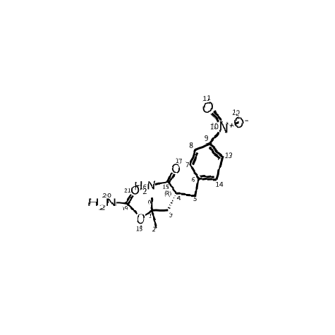 CC(C)(C[C@@H](Cc1ccc([N+](=O)[O-])cc1)C(N)=O)OC(N)=O